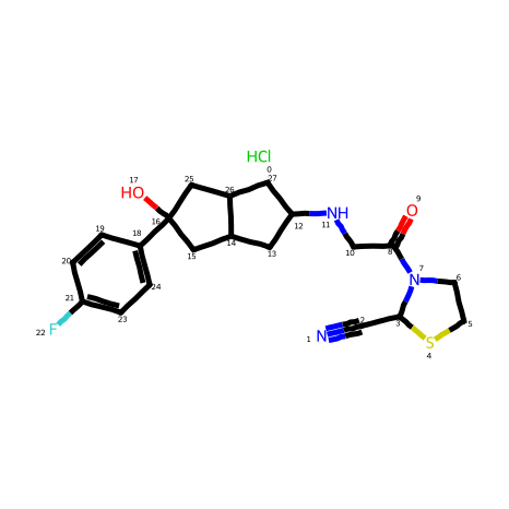 Cl.N#CC1SCCN1C(=O)CNC1CC2CC(O)(c3ccc(F)cc3)CC2C1